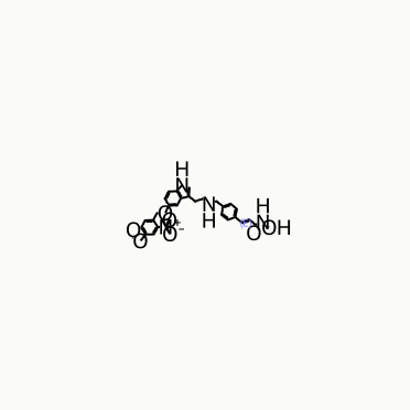 O=C(/C=C/c1ccc(CNCCc2c[nH]c3ccc(OCc4cc5c(cc4[N+](=O)[O-])OCO5)cc23)cc1)NO